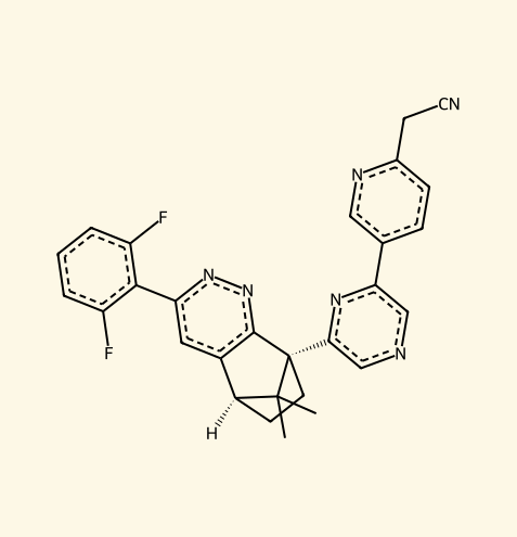 CC1(C)[C@H]2CC[C@]1(c1cncc(-c3ccc(CC#N)nc3)n1)c1nnc(-c3c(F)cccc3F)cc12